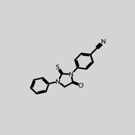 N#Cc1ccc(N2C(=O)CN(c3ccccc3)C2=S)cc1